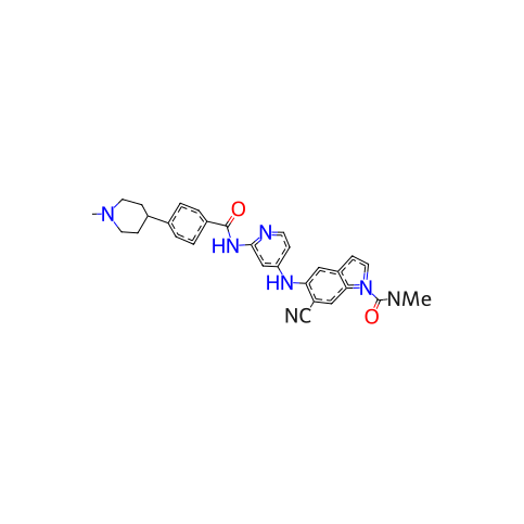 CNC(=O)n1ccc2cc(Nc3ccnc(NC(=O)c4ccc(C5CCN(C)CC5)cc4)c3)c(C#N)cc21